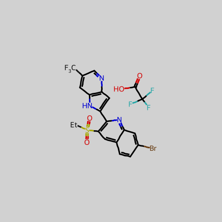 CCS(=O)(=O)c1cc2ccc(Br)cc2nc1-c1cc2ncc(C(F)(F)F)cc2[nH]1.O=C(O)C(F)(F)F